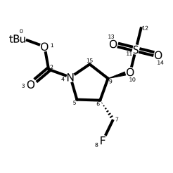 CC(C)(C)OC(=O)N1C[C@@H](CF)[C@H](OS(C)(=O)=O)C1